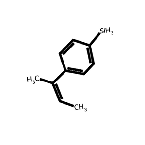 C/C=C(/C)c1ccc([SiH3])cc1